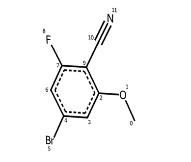 COc1cc(Br)cc(F)c1C#N